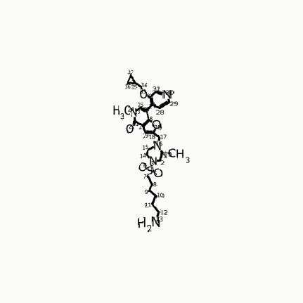 C[C@@H]1CN(S(=O)(=O)CCCCCCN)CCN1Cc1cc2c(=O)n(C)cc(-c3ccncc3OCC3CC3)c2o1